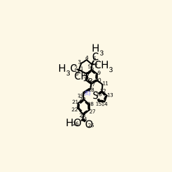 CC1(C)CCC(C)(C)c2cc(Cc3cccs3)c(/C=C/c3ccc(C(=O)O)cc3)cc21